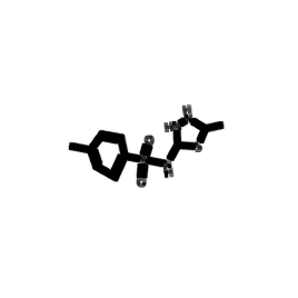 Cc1ccc(S(=O)(=O)NC2NNC(C)S2)cc1